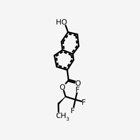 CC[C@@H](OC(=O)c1ccc2cc(O)ccc2c1)C(F)(F)F